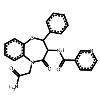 NC(=O)CN1C(=O)C(NC(=O)c2cccnc2)C(c2ccccc2)Sc2ccccc21